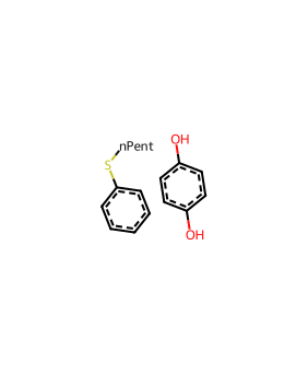 CCCCCSc1ccccc1.Oc1ccc(O)cc1